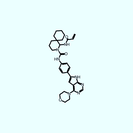 C=CC(=O)NC1N(C(=O)Nc2ccc(-c3cc4c(N5CCOCC5)ncnc4[nH]3)cc2)CCCC12CCCCC2